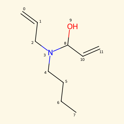 C=CCN(CCCC)C(O)C=C